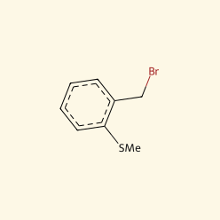 CSc1ccccc1CBr